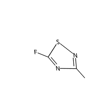 Cc1nsc(F)n1